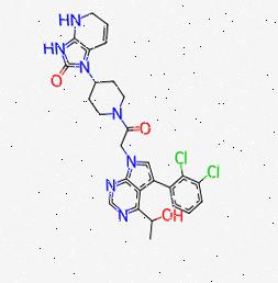 CC(O)c1ncnc2c1c(-c1cccc(Cl)c1Cl)cn2CC(=O)N1CCC(n2c3c([nH]c2=O)NCC=C3)CC1